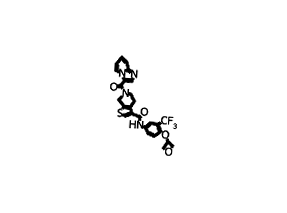 O=C(Nc1ccc(OC2COC2)c(C(F)(F)F)c1)c1csc2c1CCN(C(=O)c1cnc3ccccn13)C2